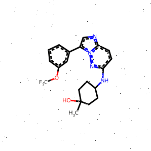 CC1(O)CCC(Nc2ccc3ncc(-c4cccc(OC(F)(F)F)c4)n3n2)CC1